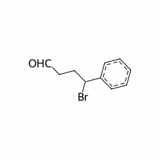 O=CCCC(Br)c1ccccc1